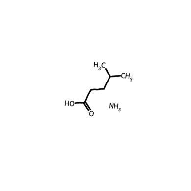 CC(C)CCC(=O)O.N